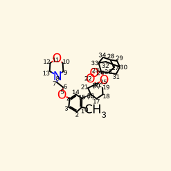 Cc1ccc(OCCN2CCOCC2)cc1[C@@H]1CCC[C@]2(C1)OOC1(O2)C2CC3CC(C2)CC1C3